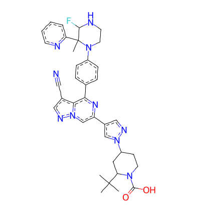 CC(C)(C)C1CC(n2cc(-c3cn4ncc(C#N)c4c(-c4ccc(N5CCNC(F)C5(C)c5ccccn5)cc4)n3)cn2)CCN1C(=O)O